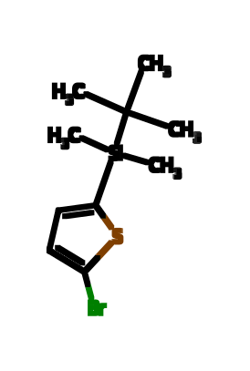 CC(C)(C)[Si](C)(C)c1ccc(Br)s1